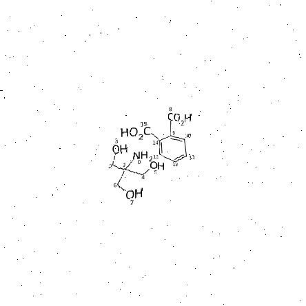 NC(CO)(CO)CO.O=C(O)c1ccccc1C(=O)O